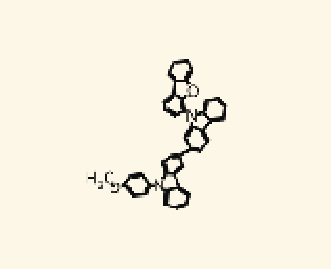 COc1ccc(-n2c3ccccc3c3cc(-c4ccc5c6ccccc6n(-c6cccc7c6oc6ccccc67)c5c4)ccc32)cc1